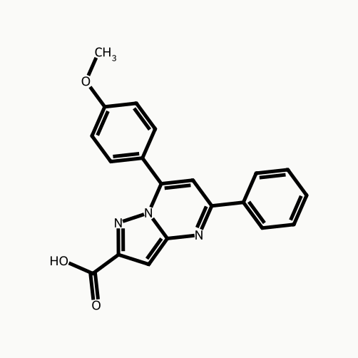 COc1ccc(-c2cc(-c3ccccc3)nc3cc(C(=O)O)nn23)cc1